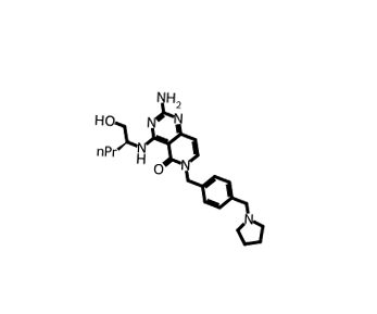 CCC[C@@H](CO)Nc1nc(N)nc2ccn(Cc3ccc(CN4CCCC4)cc3)c(=O)c12